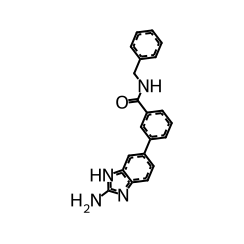 Nc1nc2ccc(-c3cccc(C(=O)NCc4ccccc4)c3)cc2[nH]1